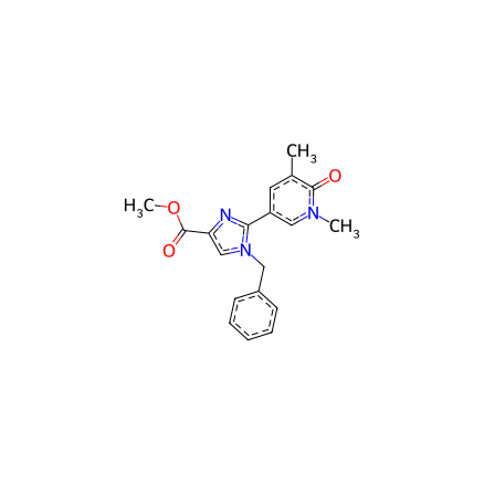 COC(=O)c1cn(Cc2ccccc2)c(-c2cc(C)c(=O)n(C)c2)n1